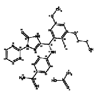 CC(=O)O.COc1cc(OCCO)c(F)c([C@H](Nc2ccc(C(=N)N)cc2)c2nn(-c3ncccn3)c(=O)[nH]2)c1